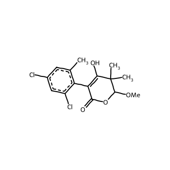 COC1OC(=O)C(c2c(C)cc(Cl)cc2Cl)=C(O)C1(C)C